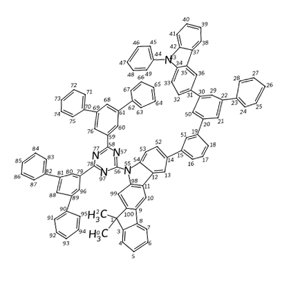 CC1(C)c2ccccc2-c2cc3c4cc(-c5cccc(-c6cc(-c7ccccc7)cc(-c7ccc8c(c7)c7ccccc7n8-c7ccccc7)c6)c5)ccc4n(-c4nc(-c5cc(-c6ccccc6)cc(-c6ccccc6)c5)nc(-c5cc(-c6ccccc6)cc(-c6ccccc6)c5)n4)c3cc21